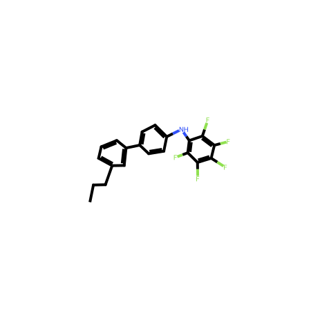 CCCc1cc[c]c(-c2ccc(Nc3c(F)c(F)c(F)c(F)c3F)cc2)c1